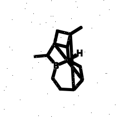 CC1B2CCC3C4C[C@H]2C2C3(C)CC142